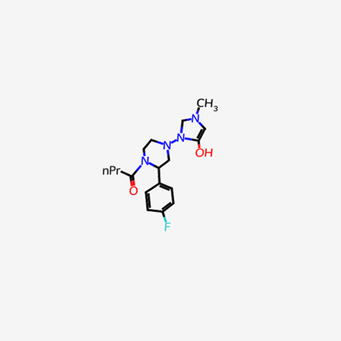 CCCC(=O)N1CCN(N2CN(C)C=C2O)CC1c1ccc(F)cc1